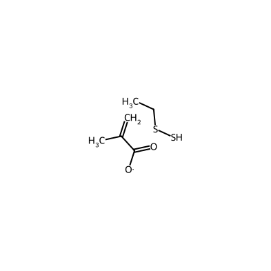 C=C(C)C([O])=O.CCSS